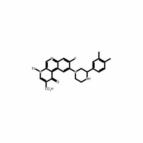 CCn1cc(C(=O)O)c(=O)c2c3cc(N4CCNC(c5ccc(C)c(C)c5)C4)c(F)cc3ncc21